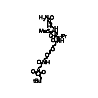 CSC(=O)[C@H](CCCNC(N)=O)NC(=O)[C@@H](NC(=O)CCOCCOCCNC(=O)CCN1C(=O)CC(CC(C)(C)C)C1=O)C(C)C